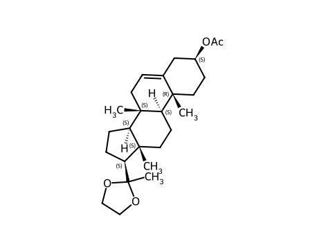 CC(=O)O[C@H]1CC[C@@]2(C)C(=CC[C@@]3(C)[C@@H]4CC[C@H](C5(C)OCCO5)[C@@]4(C)CC[C@@H]32)C1